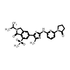 Cc1nc(Nc2cccc(N3CCCC3=O)n2)sc1-c1cc2c(c(S(C)(=O)=O)c1)C(=O)N(C(C)C(F)(F)F)C2